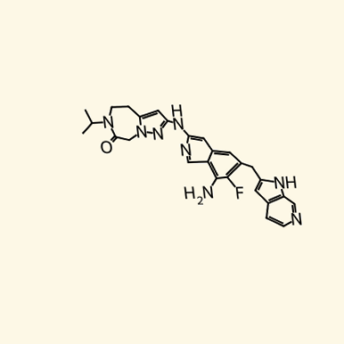 CC(C)N1CCc2cc(Nc3cc4cc(Cc5cc6ccncc6[nH]5)c(F)c(N)c4cn3)nn2CC1=O